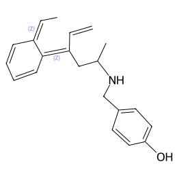 C=C/C(CC(C)NCc1ccc(O)cc1)=c1/cccc/c1=C/C